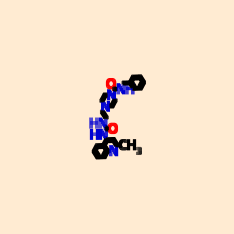 Cc1cc(NC(=O)NCCN2CCN(C(=O)NCc3ccccc3)CC2)c2ccccc2n1